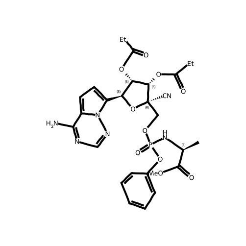 CCC(=O)O[C@H]1[C@H](c2ccc3c(N)ncnn23)O[C@](C#N)(COP(=O)(N[C@@H](C)C(=O)OC)Oc2ccccc2)[C@H]1OC(=O)CC